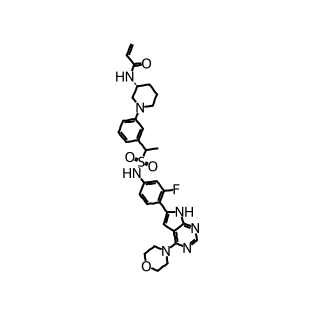 C=CC(=O)N[C@@H]1CCCN(c2cccc(C(C)S(=O)(=O)Nc3ccc(-c4cc5c(N6CCOCC6)ncnc5[nH]4)c(F)c3)c2)C1